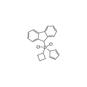 [Cl][Zr]([Cl])([CH]1C=CC=C1)([CH]1CCC1)[CH]1c2ccccc2-c2ccccc21